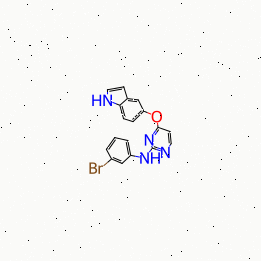 Brc1cccc(Nc2nccc(Oc3ccc4[nH]ccc4c3)n2)c1